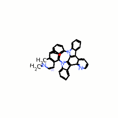 C=N/C=C\c1c(C)cccc1-n1c2ccccc2c2c3ncccc3c3c4ccccc4n(-c4ccccc4)c3c21